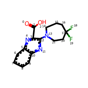 O=C(O)c1nc2ccccc2nc1N1CCCC(F)(F)CC1